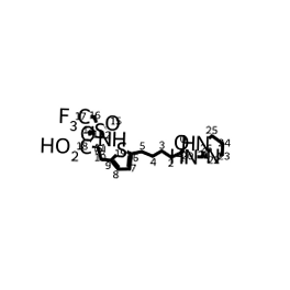 O=C(CCCCc1ccc(C[C@H](NS(=O)(=O)CC(F)(F)F)C(=O)O)s1)NC1=NCCCN1